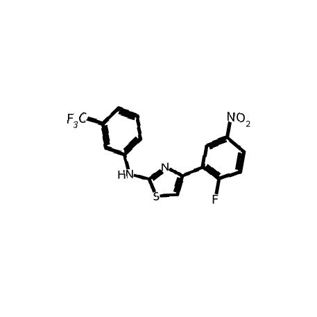 O=[N+]([O-])c1ccc(F)c(-c2csc(Nc3cccc(C(F)(F)F)c3)n2)c1